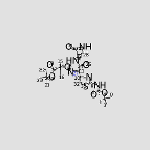 CC(C)(C)OC(=O)Nc1nc(/C(=N/OC(C)(C)C(=O)OC(C)(C)C)C(=O)N[C@H]2CNC2=O)cs1